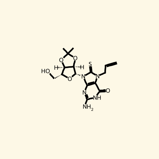 C=CCn1c(=S)n([C@@H]2O[C@H](CO)[C@H]3OC(C)(C)O[C@H]32)c2nc(N)[nH]c(=O)c21